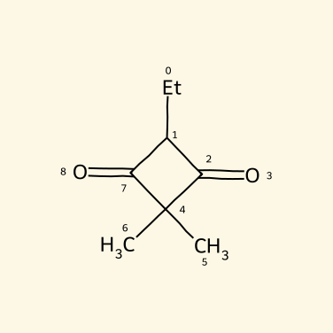 CCC1C(=O)C(C)(C)C1=O